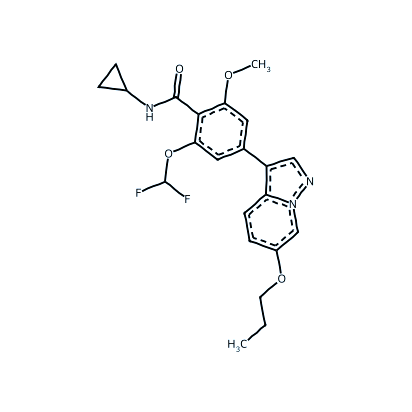 CCCOc1ccc2c(-c3cc(OC)c(C(=O)NC4CC4)c(OC(F)F)c3)cnn2c1